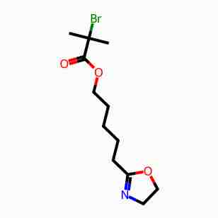 CC(C)(Br)C(=O)OCCCCCC1=NCCO1